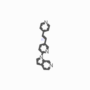 C(=C\c1ccc(-n2ccc3ccncc32)nc1)/c1ccncc1